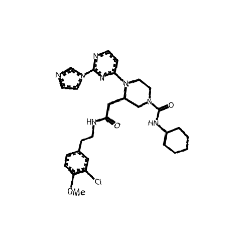 COc1ccc(CCNC(=O)CC2CN(C(=O)NC3CCCCC3)CCN2c2ccnc(-n3ccnc3)n2)cc1Cl